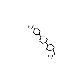 C=CC1CCC(C2COC(C3CCC(C)CC3)OC2)CC1